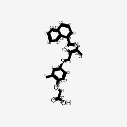 Cc1cc(SCc2sc(-c3cccc4ccccc34)nc2C)ccc1OCC(=O)O